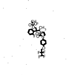 C[C@@H](n1ccn(-c2ccc(OCC(F)(F)C(F)F)cc2)c1=O)[C@](O)(COS(C)(=O)=O)c1ccccc1F